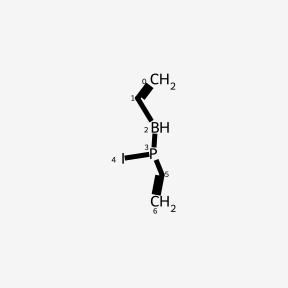 C=CBP(I)C=C